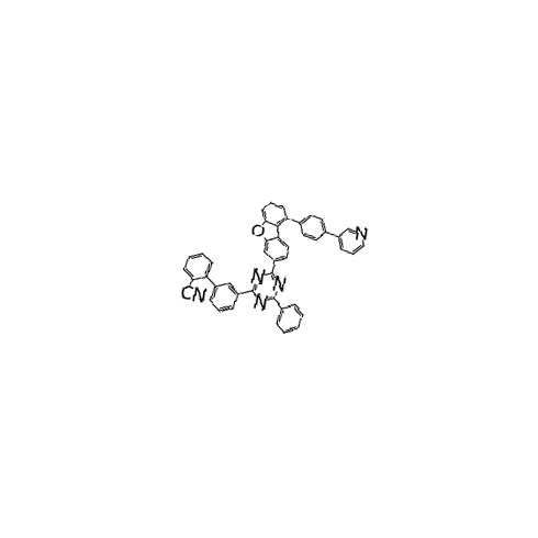 N#Cc1ccccc1-c1cccc(-c2nc(-c3ccccc3)nc(-c3ccc4c(c3)oc3cccc(-c5ccc(-c6cccnc6)cc5)c34)n2)c1